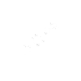 O=[N+]([O-])C1([N+](=O)[O-])CN(c2nnc(-n3cccn3)nn2)C1